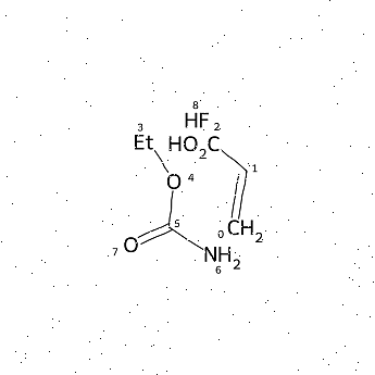 C=CC(=O)O.CCOC(N)=O.F